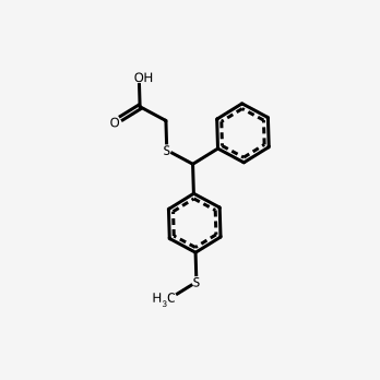 CSc1ccc(C(SCC(=O)O)c2ccccc2)cc1